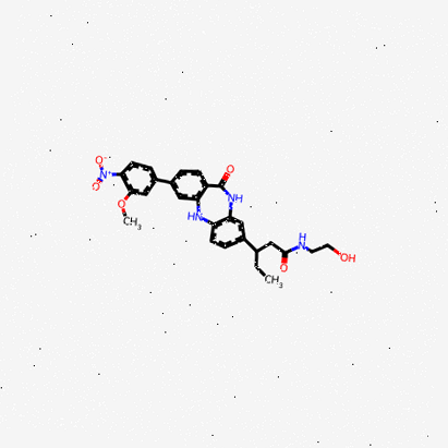 CCC(CC(=O)NCCO)c1ccc2c(c1)NC(=O)c1ccc(-c3ccc([N+](=O)[O-])c(OC)c3)cc1N2